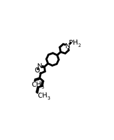 C\C=C/C=C\C(=C/C)C1CC(C2CCCC(C3CCN(P)CC3)CCC2)=NO1